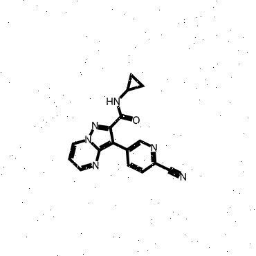 N#Cc1ccc(-c2c(C(=O)NC3CC3)nn3cccnc23)cn1